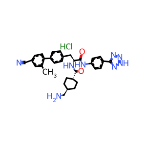 Cc1cc(C#N)ccc1-c1ccc(C[C@H](NC(=O)[C@H]2CC[C@H](CN)CC2)C(=O)Nc2ccc(-c3nn[nH]n3)cc2)cc1.Cl